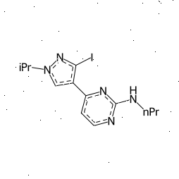 CCCNc1nccc(-c2cn(C(C)C)nc2I)n1